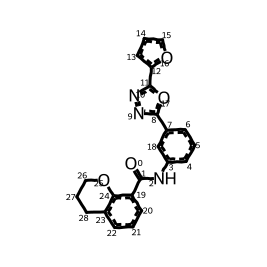 O=C(Nc1cccc(-c2nnc(-c3ccco3)o2)c1)c1cccc2c1OCCC2